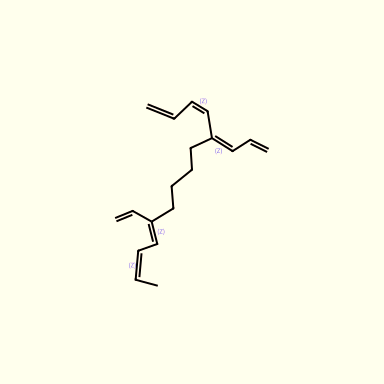 C=C/C=C\C(=C/C=C)CCCC/C(C=C)=C/C=C\C